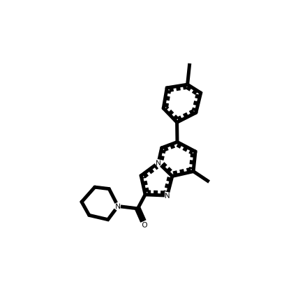 Cc1ccc(-c2cc(C)c3nc(C(=O)N4CCCCC4)cn3c2)cc1